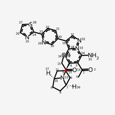 CC(=O)c1c([C@H]2C[C@H]3CC[C@@H](C2)N3C(=O)CO)nc2c(-c3ccc(-c4nccs4)nc3)cnn2c1N